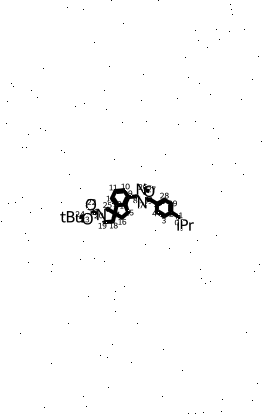 CC(C)Cc1ccc(-c2nc(-c3cccc4c3CCC43CCN(C(=O)OC(C)(C)C)C3)no2)cc1